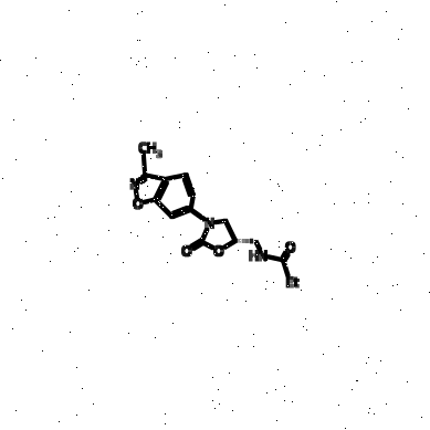 CCC(=O)NC[C@H]1CN(c2ccc3c(C)noc3c2)C(=O)O1